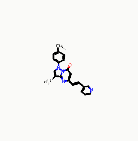 Cc1ccc(-n2cc(C)c3nc(/C=C/c4cccnc4)cc(=O)n32)cc1